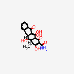 C[C@@H]1C(O)=C(C(N)=O)C(=O)[C@@]2(O)C(O)=C3C(=O)c4ccccc4C[C@H]3[C@H](O)[C@@H]12